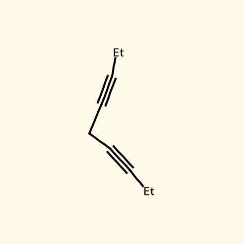 [CH2]CC#CCC#CC[CH2]